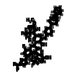 COC(=O)NC(C(=O)NC(Cc1ccc(-c2ccc(N3CC4CC(C3)N4C3COC3)nc2)cc1)C(O)CN(Cc1c(F)cc(-c2ccn(C(F)F)n2)cc1F)NC(=O)C(NC(=O)O)C(C)(C)C(F)(F)F)C(C)(C)C(F)(F)F